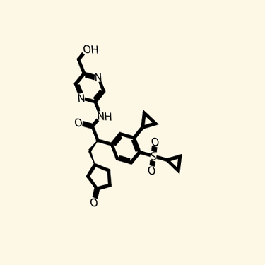 O=C1CC[C@H](C[C@@H](C(=O)Nc2cnc(CO)cn2)c2ccc(S(=O)(=O)C3CC3)c(C3CC3)c2)C1